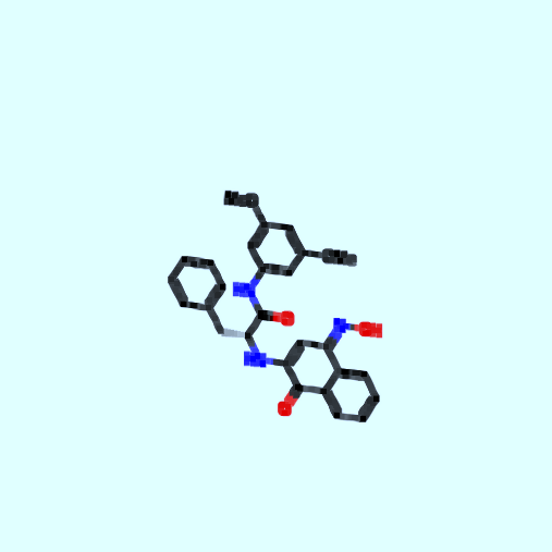 COc1cc(NC(=O)[C@@H](Cc2ccccc2)NC2=C/C(=N/O)c3ccccc3C2=O)cc(OC)c1